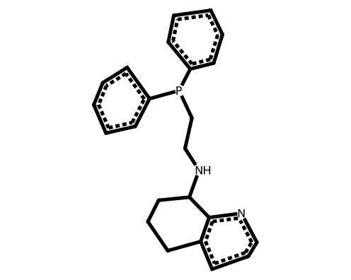 c1ccc(P(CCNC2CCCc3cccnc32)c2ccccc2)cc1